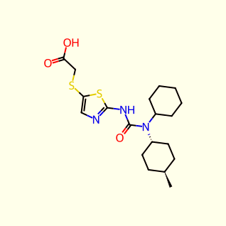 C[C@H]1CC[C@H](N(C(=O)Nc2ncc(SCC(=O)O)s2)C2CCCCC2)CC1